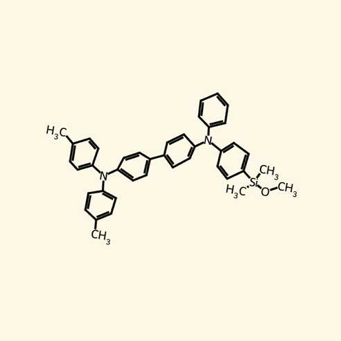 CO[Si](C)(C)c1ccc(N(c2ccccc2)c2ccc(-c3ccc(N(c4ccc(C)cc4)c4ccc(C)cc4)cc3)cc2)cc1